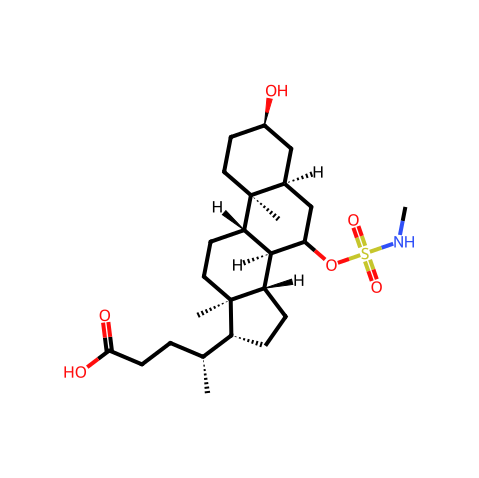 CNS(=O)(=O)OC1C[C@@H]2C[C@H](O)CC[C@]2(C)[C@H]2CC[C@]3(C)[C@@H]([C@H](C)CCC(=O)O)CC[C@H]3[C@H]12